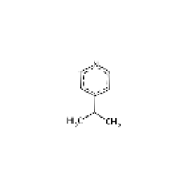 CC(C)c1c[c]ncc1